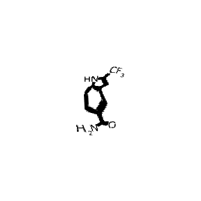 NC(=O)c1ccc2[nH]c(C(F)(F)F)cc2c1